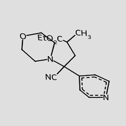 CCOC(=O)C(C)CC(C#N)(c1ccncc1)N1CCOCC1